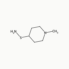 CN1CCC(SN)CC1